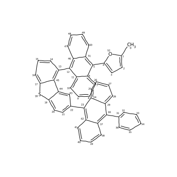 Cc1ccc(-c2c3ccccc3c(-c3cccc4sc5ccc(-c6c7ccccc7c(-c7ccccc7)c7ccccc67)cc5c34)c3ccccc23)o1